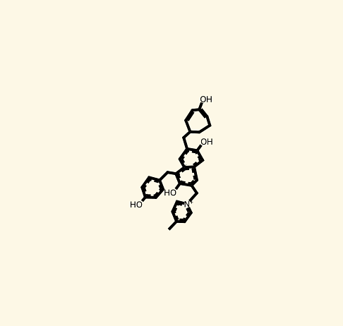 Cc1cc[n+](Cc2cc3cc(O)c(CC4C=CC(O)=CCC4)cc3c(Cc3ccc(O)cc3)c2O)cc1